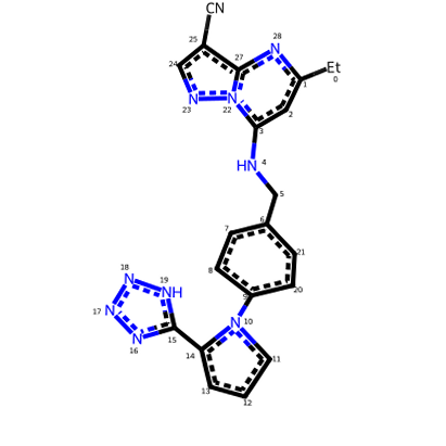 CCc1cc(NCc2ccc(-n3cccc3-c3nnn[nH]3)cc2)n2ncc(C#N)c2n1